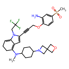 CN(C1=c2cc(C#CCOc3ccc(S(C)(=O)=O)cc3N)n(CC(F)(F)F)c2=CCC1)C1CCC(N2CC3(COC3)C2)CC1